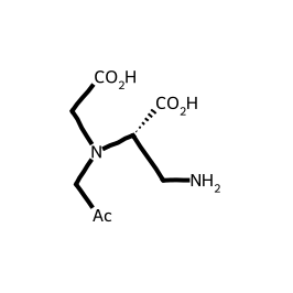 CC(=O)CN(CC(=O)O)[C@@H](CN)C(=O)O